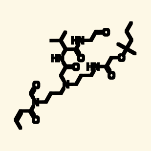 C/C=C\C(=O)N(C=O)CCCN(CCCNC(=O)COC(C)(C)CCC)CC(=O)NC(C(=O)NCC=O)C(C)C